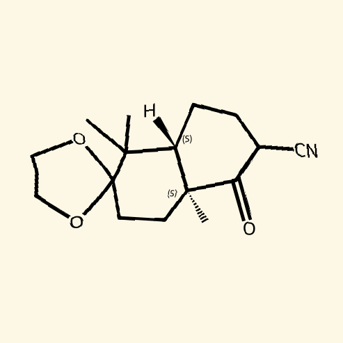 CC1(C)[C@@H]2CCC(C#N)C(=O)[C@@]2(C)CCC12OCCO2